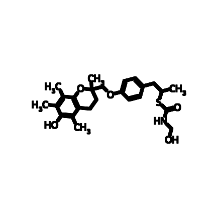 Cc1c(C)c2c(c(C)c1O)CCC(C)(COc1ccc(CC(C)SC(=O)NCO)cc1)O2